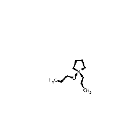 CCCO[N+]1(CCC)CCCC1